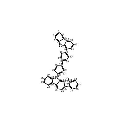 c1ccc2c(c1)oc1c(-c3ccc(-c4ccc(-n5c6ccccc6c6ccc7c8ccccc8oc7c65)cc4)cc3)cccc12